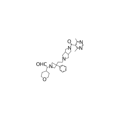 Cc1ncnc(C)c1C(=O)N1CC2CN(CCC3(c4ccccc4)CN(C(C=O)C4CCOCC4)C3)CC2C1